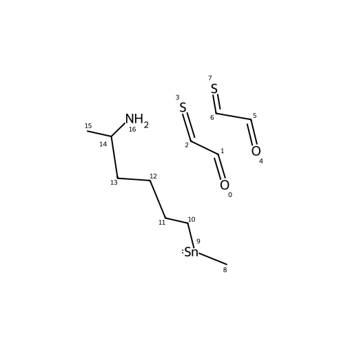 O=CC=S.O=CC=S.[CH3][Sn][CH2]CCCC(C)N